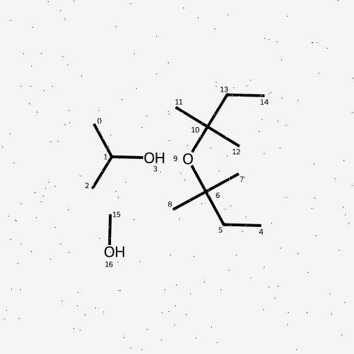 CC(C)O.CCC(C)(C)OC(C)(C)CC.CO